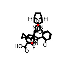 O=C(O)c1ccc(-c2nc(N3[C@@H]4CC[C@H]3CC(OCc3c(-c5c(Cl)cccc5Cl)noc3C3CC3)C4)no2)cc1F